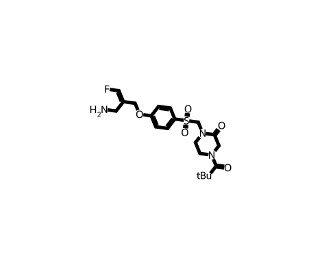 CC(C)(C)C(=O)N1CCN(CS(=O)(=O)c2ccc(OCC(=CF)CN)cc2)C(=O)C1